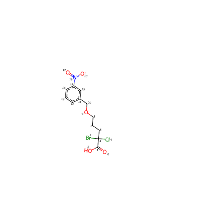 O=C(O)C(Cl)(Br)CCCOCc1cccc([N+](=O)[O-])c1